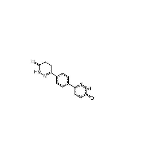 O=C1CCC(c2ccc(-c3ccc(=O)[nH]n3)cc2)=NN1